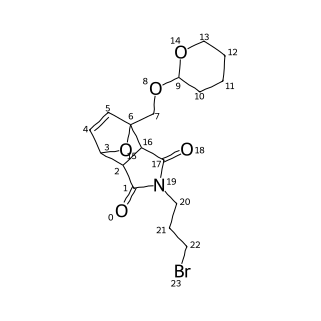 O=C1C2C3C=CC(COC4CCCCO4)(O3)C2C(=O)N1CCCBr